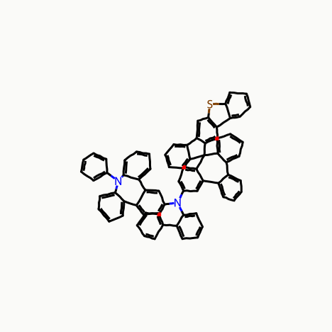 c1ccc(-c2ccccc2N(c2ccc3c(c2)-c2ccccc2N(c2ccccc2)c2ccccc2-3)c2ccc3c(c2)-c2ccccc2-c2ccccc2C32c3ccccc3-c3cc4sc5ccccc5c4cc32)cc1